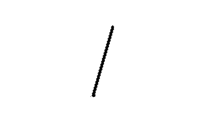 [CH2]C(C)CCCCCCCCCCCCCCCCCCCCCCCCCCCCCCCCCCCCCCCCCCCCCCCC